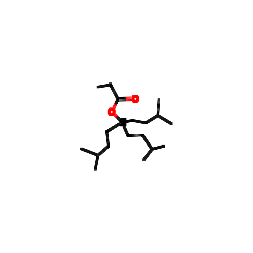 C[CH]C(=O)O[Si](CCC(C)C)(CCC(C)C)CCC(C)C